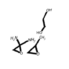 CC1CO1.NC1(N)CO1.OCCO